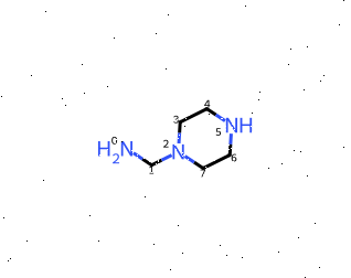 NCN1CCNCC1